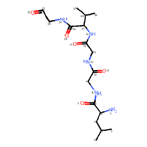 CC(C)CC(N)C(=O)NCC(=O)NCC(=O)NC(C(=O)NC[C]=O)C(C)C